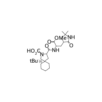 COC(=O)C(CC1CC(C)(C)NC1=O)NC(=O)C1CC2(CCCCC2)[C@H](C(C)(C)C)N1C(=O)O